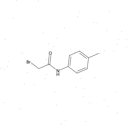 [CH2]c1ccc(NC(=O)CBr)cc1